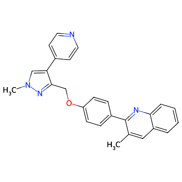 Cc1cc2ccccc2nc1-c1ccc(OCc2nn(C)cc2-c2ccncc2)cc1